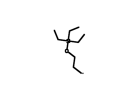 [CH2]CCO[Si](CC)(CC)CC